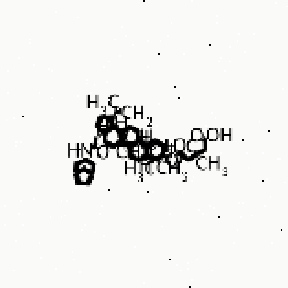 C=C(C)[C@@H]1CC[C@]2(CC(=O)NC3CC4CCC(C4)C3)CC[C@]3(C)[C@H](CC[C@@H]4[C@@]5(C)CC[C@H](OC(=O)CC(C)(C)CC(=O)O)C(C)(C)[C@@H]5CC[C@]43C)[C@@H]12